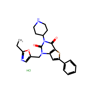 CCc1ncc(Cn2c(=O)n(C3CCNCC3)c(=O)c3sc(-c4ccccc4)cc32)o1.Cl